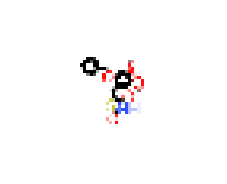 COc1cc(CC2SC(=O)NC2=O)c(OCc2ccccc2)cc1OC